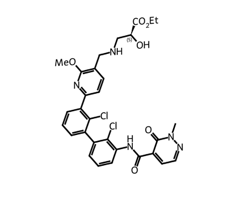 CCOC(=O)[C@@H](O)CNCc1ccc(-c2cccc(-c3cccc(NC(=O)c4ccnn(C)c4=O)c3Cl)c2Cl)nc1OC